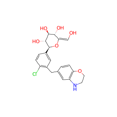 O/C=C1/O[C@@H](c2ccc(Cl)c(Cc3ccc4c(c3)NCCO4)c2)[C@H](O)[C@@H](O)[C@@H]1O